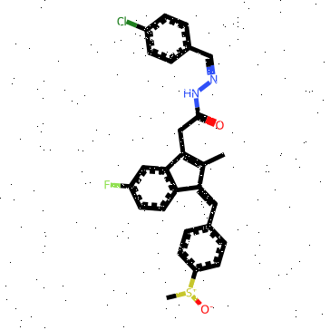 CC1=C(CC(=O)N/N=C\c2ccc(Cl)cc2)c2cc(F)ccc2/C1=C\c1ccc([S+](C)[O-])cc1